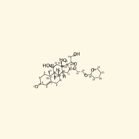 C[C@]12CCC(=O)C=C1CC[C@H]1[C@@H]3C[C@@H](OCCOC4CCCCO4)[C@](O)(C(=O)CO)[C@@]3(C)C[C@H](O)C12F